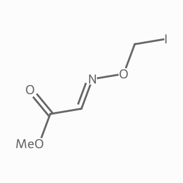 COC(=O)C=NOCI